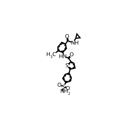 Cc1ccc(C(=O)NC2CC2)cc1NC(=O)c1ccc(-c2ccc(S(N)(=O)=O)cc2)s1